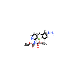 Cc1c(N)cccc1Cc1ccnc(N(C(=O)OC(C)(C)C)C(=O)OC(C)(C)C)c1F